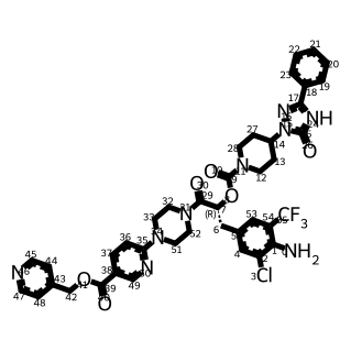 Nc1c(Cl)cc(C[C@@H](OC(=O)N2CCC(n3nc(-c4ccccc4)[nH]c3=O)CC2)C(=O)N2CCN(c3ccc(C(=O)OCc4ccncc4)cn3)CC2)cc1C(F)(F)F